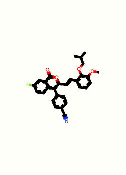 COc1cccc(C=Cc2oc(=O)c3cc(F)ccc3c2-c2ccc(C#N)cc2)c1OCC(C)C